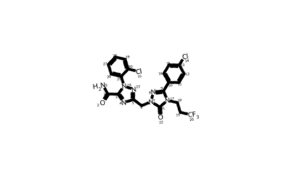 NC(=O)c1nc(Cn2nc(-c3ccc(Cl)cc3)n(CCC(F)(F)F)c2=O)nn1-c1ccccc1Cl